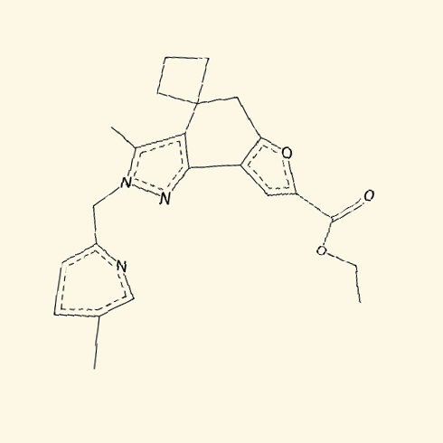 CCOC(=O)c1cc2c(o1)CC1(CCC1)c1c-2nn(Cc2ccc(C)cn2)c1C